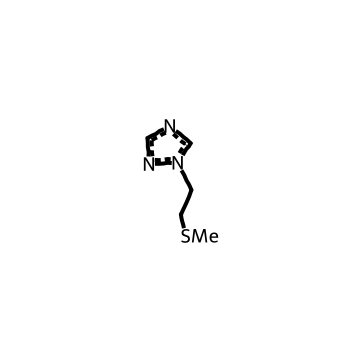 CSCCn1cncn1